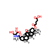 CC1(C)[C@@H](OC(=O)CCCC(=O)O)CC[C@]2(C)[C@H]3C(=O)C=C4[C@@H]5C[C@@](C)(C(=O)NC(CO)C(=O)O)CC[C@]5(C)CC[C@@]4(C)[C@]3(C)CC[C@@H]12